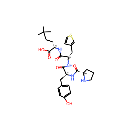 CC(C)(C)CC[C@H](NC(=O)[C@H](Cc1ccsc1)NC(=O)[C@H](Cc1ccc(O)cc1)NC(=O)[C@@H]1CCCN1)C(=O)O